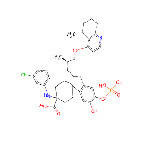 C[C@@H](COc1ccnc2c1[C@H](C)CCC2)CC1Cc2cc(OP(=O)(O)O)c(O)cc2C12CCC(Nc1cccc(Cl)c1)(C(=O)O)CC2